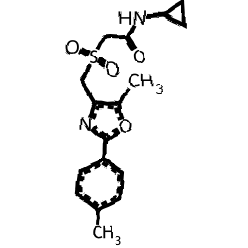 Cc1ccc(-c2nc(CS(=O)(=O)CC(=O)NC3CC3)c(C)o2)cc1